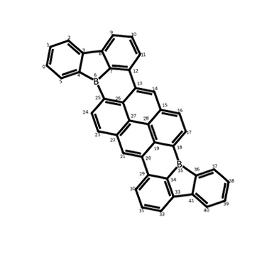 c1ccc2c(c1)B1c3c-2cccc3-c2cc3ccc4c5c(cc6ccc1c2c6c35)-c1cccc2c1B4c1ccccc1-2